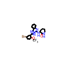 O=C1NCCCC[C@H]1Nc1nc2ccccc2c2nc(-c3cc(Br)ccc3OC(F)(F)F)nn12